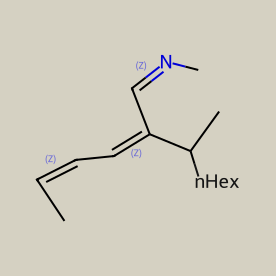 C\C=C/C=C(\C=N/C)C(C)CCCCCC